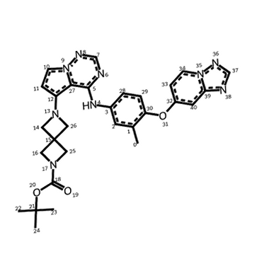 Cc1cc(Nc2ncnn3ccc(N4CC5(CN(C(=O)OC(C)(C)C)C5)C4)c23)ccc1Oc1ccn2ncnc2c1